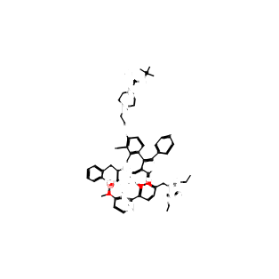 CCOC(=O)C(Cc1ccccc1OCc1ccnc(-c2ccc(CP(=O)(OCC)OCC)cc2)n1)Oc1ncnc2sc(-c3ccc(F)cc3)c(-c3ccc(OCCN4CCN(C(=O)OC(C)(C)C)CC4)c(Cl)c3C)c12